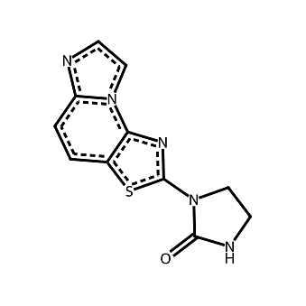 O=C1NCCN1c1nc2c(ccc3nccn32)s1